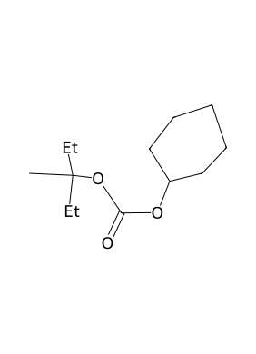 CCC(C)(CC)OC(=O)OC1CCCCC1